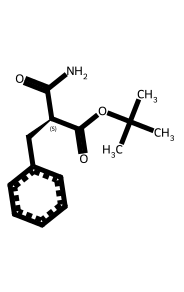 CC(C)(C)OC(=O)[C@@H](Cc1ccccc1)C(N)=O